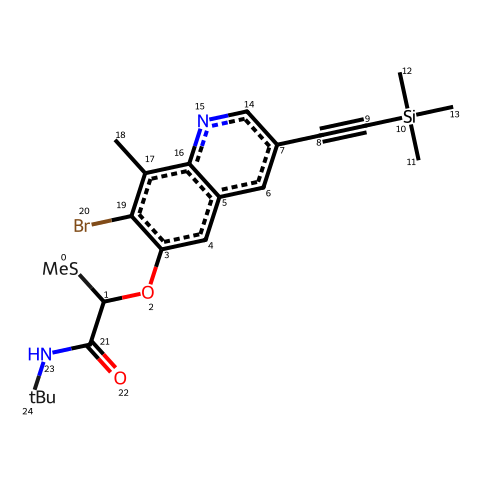 CSC(Oc1cc2cc(C#C[Si](C)(C)C)cnc2c(C)c1Br)C(=O)NC(C)(C)C